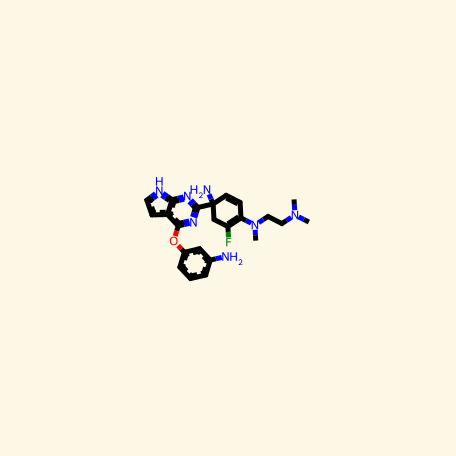 CN(C)CCN(C)C1=C(F)CC(N)(c2nc(Oc3cccc(N)c3)c3cc[nH]c3n2)C=C1